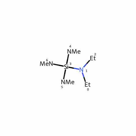 CCN(CC)[Si](NC)(NC)NC